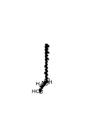 CC(C)=CCC/C(C)=C/CC/C(C)=C/CC/C=C(\C)CC/C=C(\C)CCCOP(=O)(O)N(N)CC(=O)CCC(=O)O